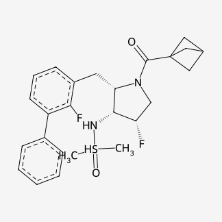 C[SH](C)(=O)N[C@H]1[C@@H](F)CN(C(=O)C23CC(C2)C3)[C@H]1Cc1cccc(-c2ccccc2)c1F